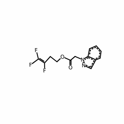 O=C(Cn1ncc2ccccc21)OCCC(F)=C(F)F